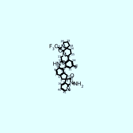 NN1C(=O)C2(Cc3ccc(NC(=O)CN4C(=O)C5(CCCN5CC(F)(F)F)CCC4c4cc(F)cc(F)c4)cc3C2)c2cccnc21